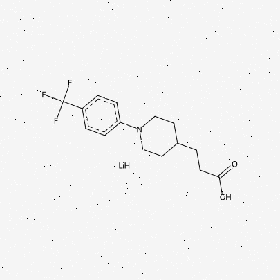 O=C(O)CCC1CCN(c2ccc(C(F)(F)F)cc2)CC1.[LiH]